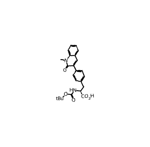 Cn1c(=O)c(-c2ccc(C[C@H](NC(=O)OC(C)(C)C)C(=O)O)cc2)cc2ccccc21